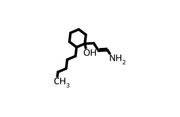 CCCCCC1CCCCC1(O)CC=CN